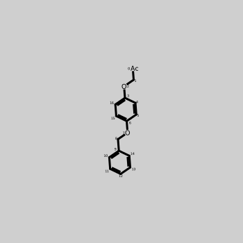 CC(=O)COc1ccc(OCc2ccccc2)cc1